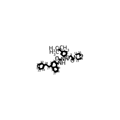 CC(C)(C)c1ccc(OCC(=O)N2CCOCC2)c(NC(=O)Nc2ccc(CCc3ccncc3)c3ccccc23)c1